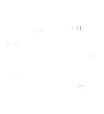 CCc1c(O)cc(C(N)=O)c(CC)c1O